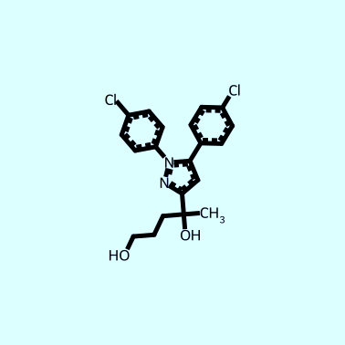 CC(O)(CCCO)c1cc(-c2ccc(Cl)cc2)n(-c2ccc(Cl)cc2)n1